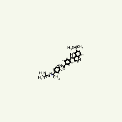 C/C(=N\N=C(N)N)c1ccc(NC(=O)c2ccc(Nc3ccnc4ccc(N(C)C)cc34)cc2)cc1